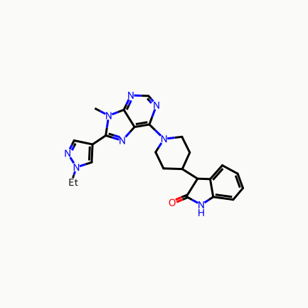 CCn1cc(-c2nc3c(N4CCC(C5C(=O)Nc6ccccc65)CC4)ncnc3n2C)cn1